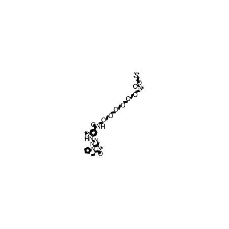 CC[C@@H]1C(=O)N(C)c2cnc(Nc3ccc(C(=O)NCCOCCOCCOCCOCCOCCOCCN(C)C(=O)OCCS(C)(C)C)cc3OC)nc2N1C1CCCC1